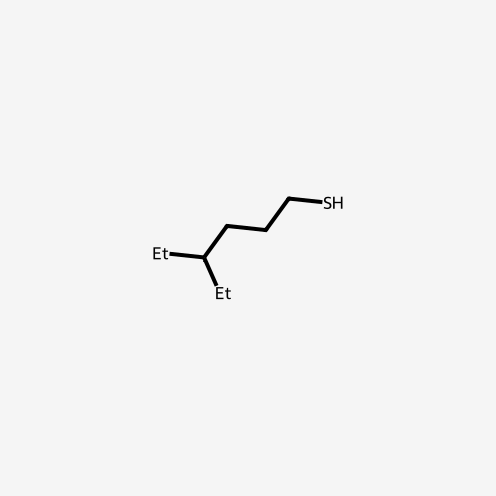 CC[C](CC)CCCS